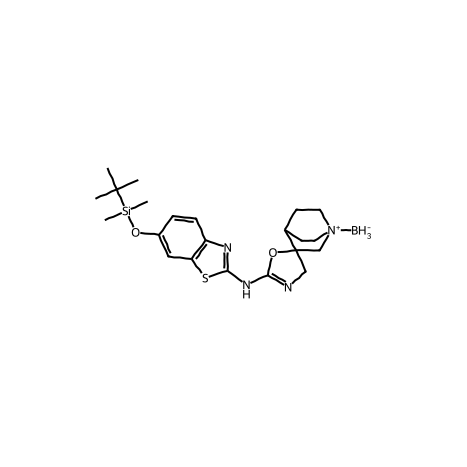 [BH3-][N+]12CCC(CC1)C1(CN=C(Nc3nc4ccc(O[Si](C)(C)C(C)(C)C)cc4s3)O1)C2